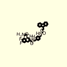 CC(C)(CC(Cc1ccc(F)c(F)c1)C(=O)NCc1ccc(CNC(=O)OCC2c3ccccc3-c3ccccc32)cc1)OC(N)=O